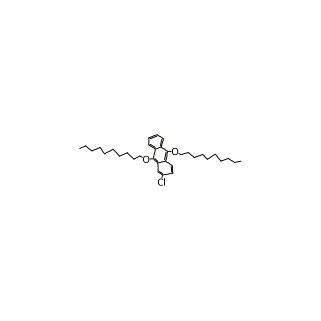 CCCCCCCCCCOc1c2ccccc2c(OCCCCCCCCCC)c2cc(Cl)ccc12